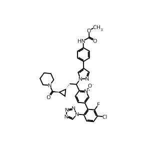 COC(=O)Nc1ccc(-c2cnn(C(C[C@@H]3C[C@H]3C(=O)N3CCCCC3)c3ccc(-c4c(-n5cnnn5)ccc(Cl)c4F)c[n+]3[O-])c2)cc1